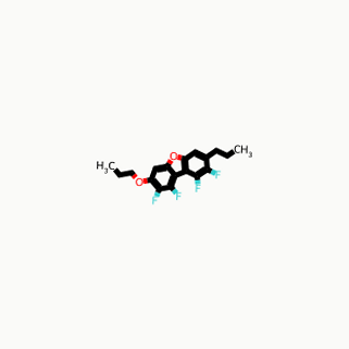 CCCOc1cc2oc3cc(CCC)c(F)c(F)c3c2c(F)c1F